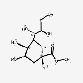 COC(=O)[C@]1(O)C[C@@H](O)[C@@H](N)C([C@H](O)[C@H](O)CO)O1